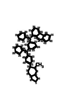 CC1CC2CCCC2CCC1c1ccc(N(c2ccccc2)c2cccc(N(c3ccccc3)c3cccc4c3sc3ccccc34)c2)cc1